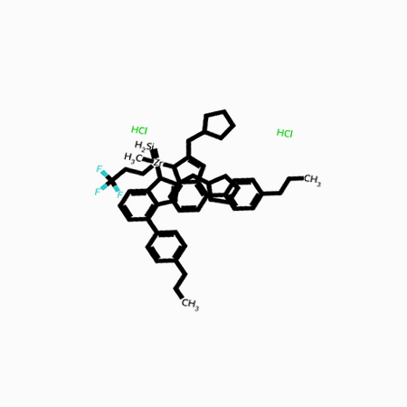 CCCc1ccc(-c2cccc3c2C=C(CC2CCCC2)[CH]3[Zr]([CH3])(=[SiH2])([CH2]CC(F)(F)F)[CH]2C(CC3CCCC3)=Cc3c(-c4ccc(CCC)cc4)cccc32)cc1.Cl.Cl